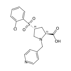 O=C(O)[C@@H]1C[C@@H](S(=O)(=O)c2ccccc2Cl)CN1Cc1ccncc1